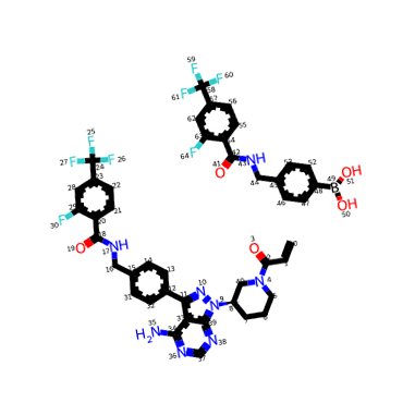 C=CC(=O)N1CCC[C@@H](n2nc(-c3ccc(CNC(=O)c4ccc(C(F)(F)F)cc4F)cc3)c3c(N)ncnc32)C1.O=C(NCc1ccc(B(O)O)cc1)c1ccc(C(F)(F)F)cc1F